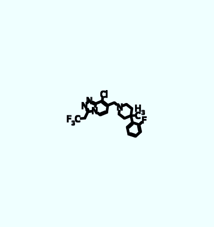 CC1(c2ccccc2F)CCN(Cc2ccn3c(CC(F)(F)F)nnc3c2Cl)CC1